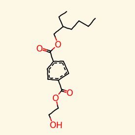 CCCCC(CC)COC(=O)c1ccc(C(=O)OCCO)cc1